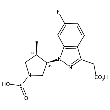 C[C@@H]1CN(S(=O)O)C[C@@H]1n1nc(CC(=O)O)c2ccc(F)cc21